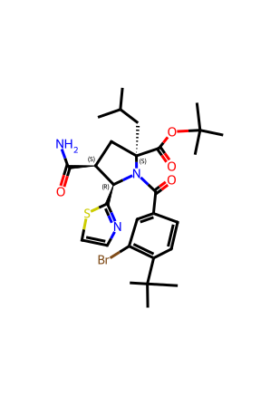 CC(C)C[C@@]1(C(=O)OC(C)(C)C)C[C@H](C(N)=O)[C@H](c2nccs2)N1C(=O)c1ccc(C(C)(C)C)c(Br)c1